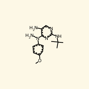 COc1ccc(N(N)c2nc(NC(C)(C)C)ncc2N)cc1